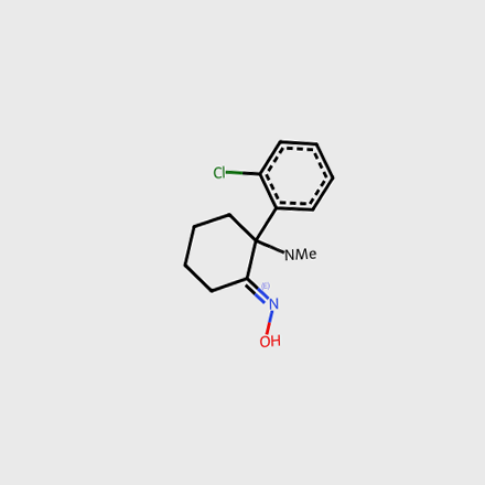 CNC1(c2ccccc2Cl)CCCC/C1=N\O